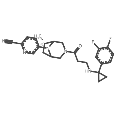 C[C@H]1CC2CN(C(=O)CCNC3(c4ccc(F)c(F)c4)CC3)CC1N2c1ccc(C#N)nc1